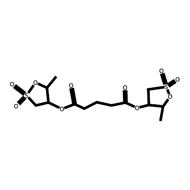 CC1OS(=O)(=O)CC1OC(=O)CCCC(=O)OC1CS(=O)(=O)OC1C